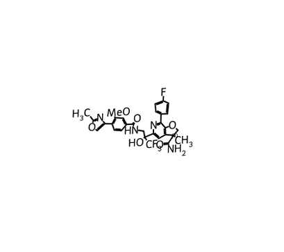 COc1cc(C(=O)NCC(O)(c2cc3c(c(-c4ccc(F)cc4)n2)OC[C@]3(C)C(N)=O)C(F)(F)F)ccc1-c1coc(C)n1